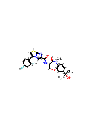 CN1C(=O)[C@@H](NC(=O)c2cn3c(-c4ccc(F)cc4F)csc3n2)COc2cc(C(C)(C)O)ccc21